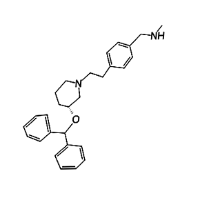 CNCc1ccc(CCN2CCC[C@@H](OC(c3ccccc3)c3ccccc3)C2)cc1